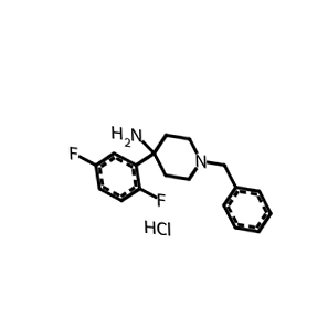 Cl.NC1(c2cc(F)ccc2F)CCN(Cc2ccccc2)CC1